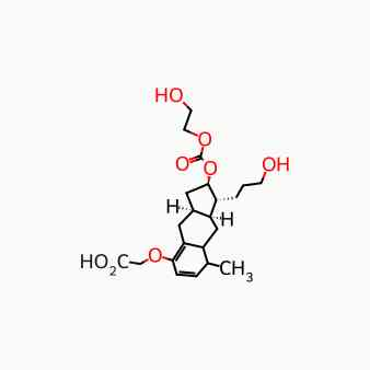 CC1C=CC(OCC(=O)O)=C2C[C@H]3C[C@@H](OC(=O)OCCO)[C@H](CCCO)[C@H]3CC21